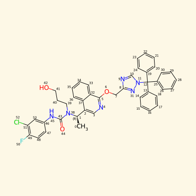 C[C@H](c1cnc(OCc2ncn(C(c3ccccc3)(c3ccccc3)c3ccccc3)n2)c2ccccc12)N(CCCO)C(=O)Nc1ccc(F)c(Cl)c1